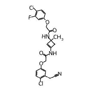 CC1(NC(=O)COc2ccc(Cl)c(F)c2)C=C(NC(=O)COc2ccc(Cl)c(CC#N)c2)C1